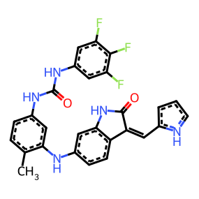 Cc1ccc(NC(=O)Nc2cc(F)c(F)c(F)c2)cc1Nc1ccc2c(c1)NC(=O)/C2=C\c1ccc[nH]1